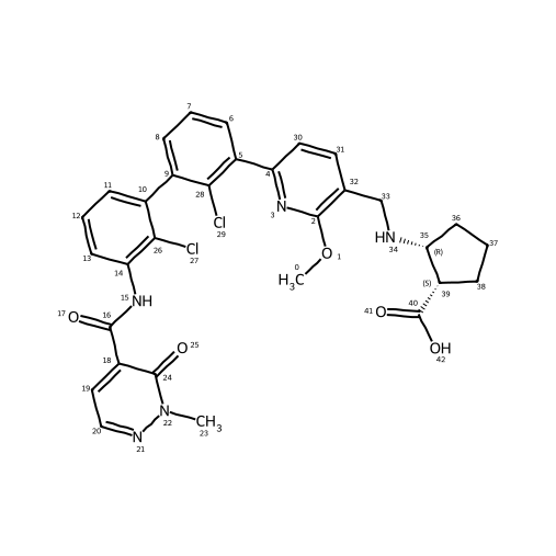 COc1nc(-c2cccc(-c3cccc(NC(=O)c4ccnn(C)c4=O)c3Cl)c2Cl)ccc1CN[C@@H]1CCC[C@@H]1C(=O)O